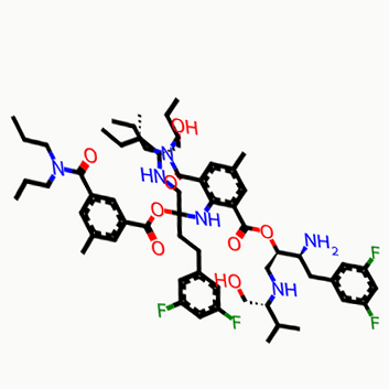 CCCN(CCC)C(=O)c1cc(C)cc(C(=O)OC(CCc2cc(F)cc(F)c2)(CN[C@@H](CO)[C@@H](C)CC)Nc2c(C(=O)O[C@H](CN[C@@H](CO)C(C)C)[C@@H](N)Cc3cc(F)cc(F)c3)cc(C)cc2C(=O)N(CCC)CCC)c1